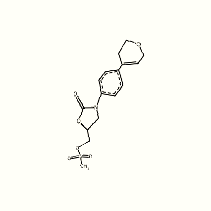 CS(=O)(=O)OCC1CN(c2ccc(C3=CCOCC3)cc2)C(=O)O1